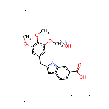 COc1cc(Cc2cc3ccc(C(=O)O)cc3[nH]2)cc(OC)c1OC.NO